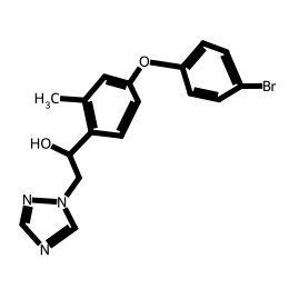 Cc1cc(Oc2ccc(Br)cc2)ccc1C(O)Cn1cncn1